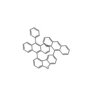 c1ccc(-c2c3ccccc3c(-c3cccc4oc5ccc(-c6c7ccccc7cc7ccccc67)cc5c34)c3ccccc23)cc1